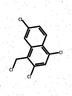 ClCc1c(Cl)cc(Cl)c2ccc(Cl)cc12